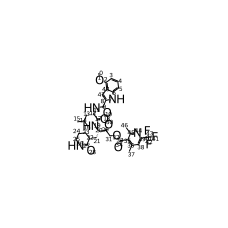 COc1cccc2[nH]c(C(=O)N[C@@H](CC(C)C)C(=O)N[C@@H](C[C@@H]3CCCNC3=O)C(=O)COC(=O)c3c(C)cc(C(F)(F)F)nc3C)cc12